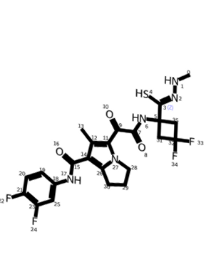 CN/N=C(\S)C1(NC(=O)C(=O)c2c(C)c(C(=O)Nc3ccc(F)c(F)c3)c3n2CCC3)CC(F)(F)C1